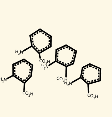 Nc1ccccc1C(=O)O.Nc1ccccc1C(=O)O.Nc1ccccc1C(=O)O.Nc1ccccc1C(=O)O